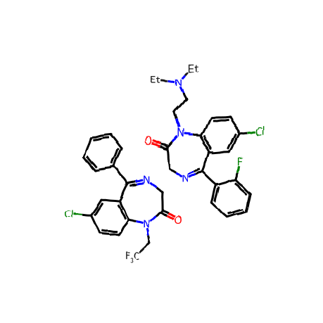 CCN(CC)CCN1C(=O)CN=C(c2ccccc2F)c2cc(Cl)ccc21.O=C1CN=C(c2ccccc2)c2cc(Cl)ccc2N1CC(F)(F)F